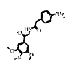 COc1cc(C(=O)CNC(=O)Cc2ccc(N)cc2)cc(OC)c1OC